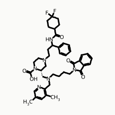 Cc1cnc(CN(CCCCN2C(=O)c3ccccc3C2=O)C[C@H]2CN(CCC(NC(=O)C3CCC(F)(F)CC3)c3ccccc3)CCN2C(=O)O)c(C)c1